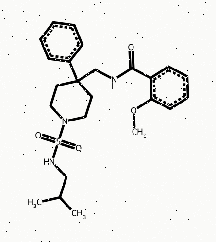 COc1ccccc1C(=O)NCC1(c2ccccc2)CCN(S(=O)(=O)NCC(C)C)CC1